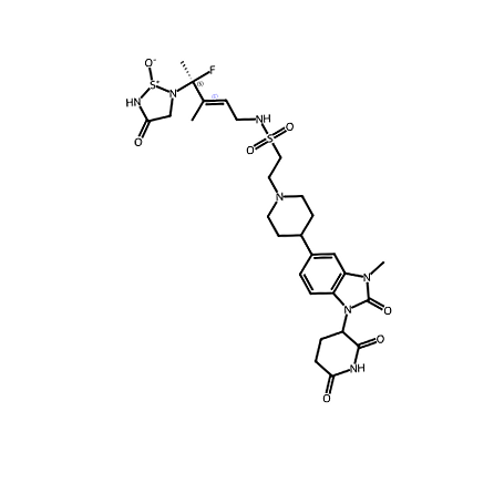 C/C(=C\CNS(=O)(=O)CCN1CCC(c2ccc3c(c2)n(C)c(=O)n3C2CCC(=O)NC2=O)CC1)[C@](C)(F)N1CC(=O)N[S+]1[O-]